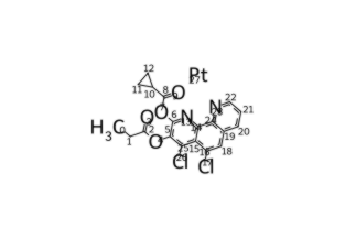 CCC(=O)Oc1c(OC(=O)C2CC2)nc2c(c(Cl)cc3cccnc32)c1Cl.[Pt]